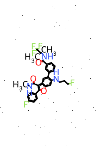 CNC(=O)c1c(-c2ccc(F)cc2)oc2cc(NCCCF)c(-c3cccc(C(=O)NC(C)(C)C(F)(F)F)c3)cc12